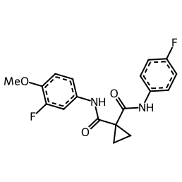 COc1ccc(NC(=O)C2(C(=O)Nc3ccc(F)cc3)CC2)cc1F